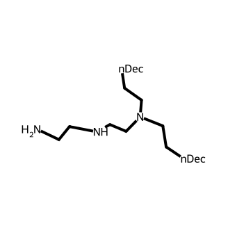 CCCCCCCCCCCCN(CCCCCCCCCCCC)CCNCCN